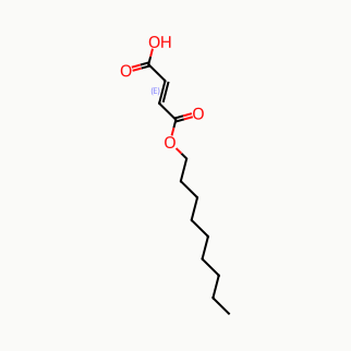 CCCCCCCCCOC(=O)/C=C/C(=O)O